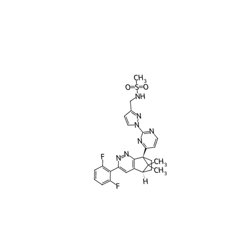 CC1(C)[C@H]2CC[C@@]1(c1ccnc(-n3ccc(CNS(C)(=O)=O)n3)n1)c1nnc(-c3c(F)cccc3F)cc12